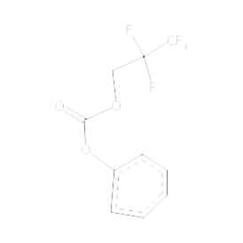 O=C(OCC(F)(F)C(F)(F)F)Oc1ccccc1